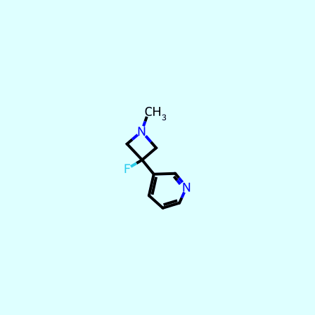 CN1CC(F)(c2cccnc2)C1